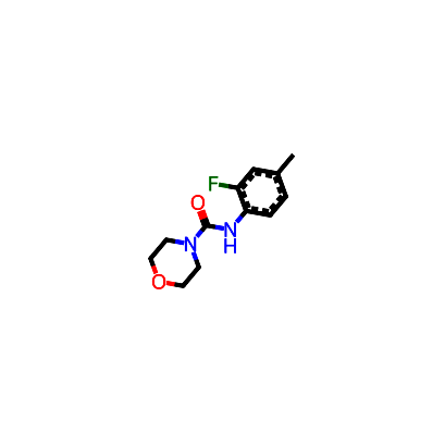 Cc1ccc(NC(=O)N2CCOCC2)c(F)c1